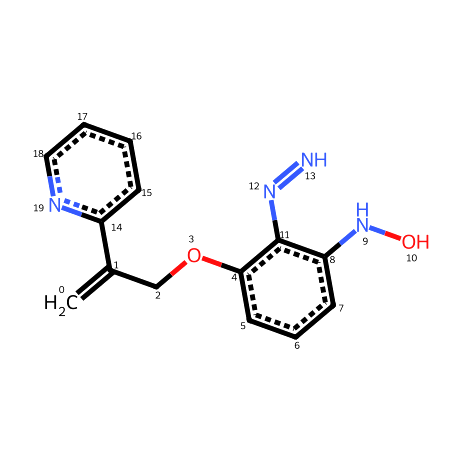 C=C(COc1cccc(NO)c1N=N)c1ccccn1